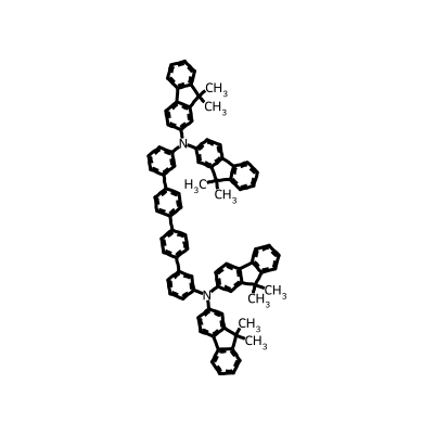 CC1(C)c2ccccc2-c2ccc(N(c3cccc(-c4ccc(-c5ccc(-c6cccc(N(c7ccc8c(c7)C(C)(C)c7ccccc7-8)c7ccc8c(c7)C(C)(C)c7ccccc7-8)c6)cc5)cc4)c3)c3ccc4c(c3)C(C)(C)c3ccccc3-4)cc21